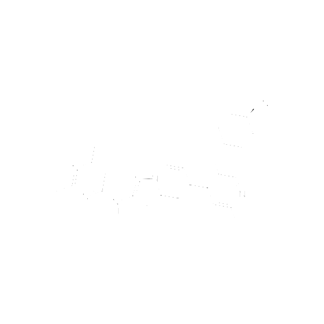 Cc1cc(-c2ccn3nc(Nc4cc(C)nc(C)n4)cc3c2)c(O[C@H]2CC[C@H](C#N)CC2)cn1